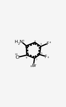 Nc1cc(F)c(F)c(Br)c1Cl